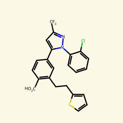 O=C(O)c1ccc(-c2cc(C(F)(F)F)nn2-c2ccccc2Cl)cc1CCc1cccs1